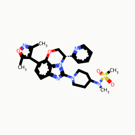 Cc1noc(C)c1-c1ccc2nc(N3CCC(N(C)S(C)(=O)=O)CC3)n3c2c1OC[C@@H]3c1ccccn1